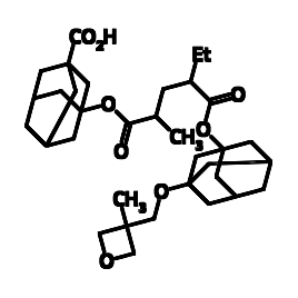 CCC(CC(C)C(=O)OC12CC3CC(C1)CC(C(=O)O)(C3)C2)C(=O)OC12CC3CC(CC(OCC4(C)COC4)(C3)C1)C2